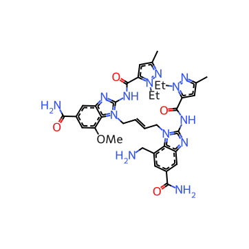 CCn1nc(C)cc1C(=O)Nc1nc2cc(C(N)=O)cc(CN)c2n1CC=CCn1c(NC(=O)c2cc(C)nn2CC)nc2cc(C(N)=O)cc(OC)c21